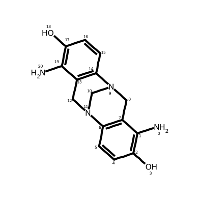 Nc1c(O)ccc2c1CN1CN2Cc2c1ccc(O)c2N